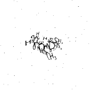 Cc1nnc(-c2c[nH]c(=O)[nH]c2=O)cc1N1CCCC(C)(C(C)C)C1